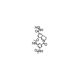 CC(=O)Nc1cc(NC(C)=O)cc(C(=O)N2C=C3C=CC(C(=O)NO)=CC3CCC2)c1